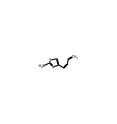 C=C/C=C\c1csc(N)n1